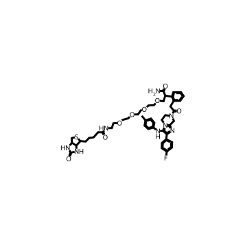 Cc1ccc(Nc2c(-c3ccc(F)cc3)nc3n2CCN(C(=O)Cc2ccccc2C(COCCOCCOCCOCCNC(=O)CCCCC2SCC4NC(=O)NC42)C(N)=O)C3)cc1